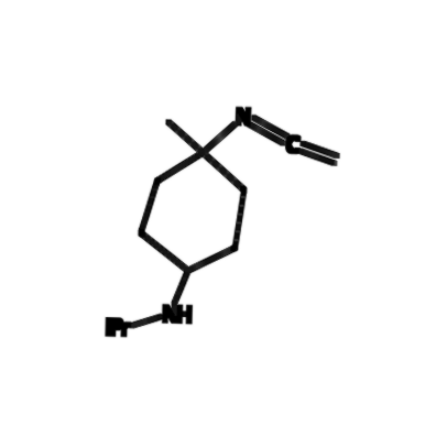 C=C=NC1(C)CCC(NC(C)C)CC1